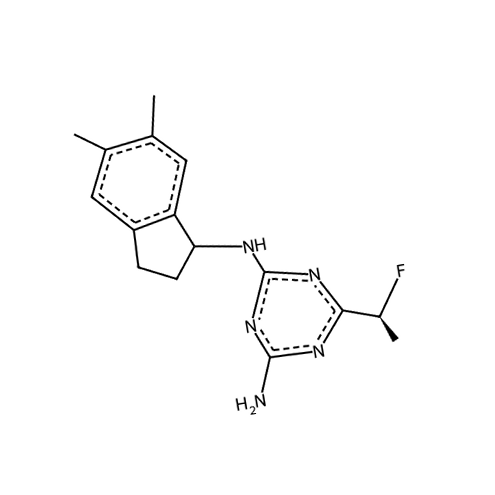 Cc1cc2c(cc1C)C(Nc1nc(N)nc([C@H](C)F)n1)CC2